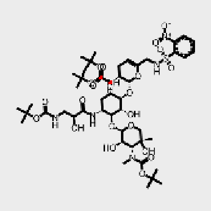 CN(C(=O)OC(C)(C)C)[C@@H]1[C@@H](O)[C@@H](O[C@@H]2[C@@H](O)[C@H](O[C@H]3OC(CNS(=O)(=O)c4ccccc4[N+](=O)[O-])=CC[C@H]3NC(=O)OC(C)(C)C)[C@@H](NC(=O)OC(C)(C)C)C[C@H]2NC(=O)[C@@H](O)CNC(=O)OC(C)(C)C)OC[C@]1(C)O